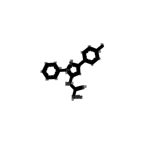 CC(=O)NC(=S)Nc1cc(-c2ccc(C)cc2)nn1-c1ccccc1